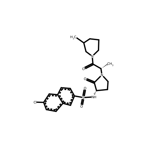 CC1CCCN(C(=O)[C@H](C)N2CC[C@H](NS(=O)(=O)c3ccc4cc(Cl)ccc4c3)C2=O)C1